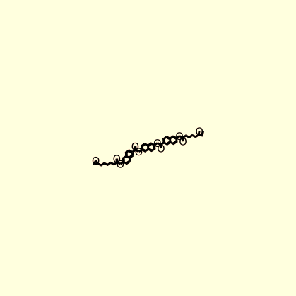 O=C(CCCCCC1CO1)Oc1ccc2cc(C(=O)Oc3ccc4cc(OC(=O)c5ccc6cc(OC(=O)CCCCC7CCO7)ccc6c5)ccc4c3)ccc2c1